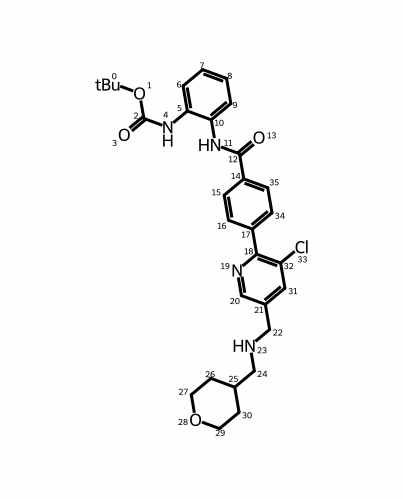 CC(C)(C)OC(=O)Nc1ccccc1NC(=O)c1ccc(-c2ncc(CNCC3CCOCC3)cc2Cl)cc1